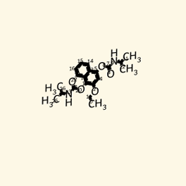 CCOc1cc(OC(=O)NC(C)C)c2ccccc2c1OC(=O)NC(C)C